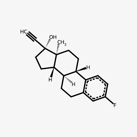 C#C[C@]1(O)CC[C@H]2[C@@H]3CCc4cc(F)ccc4[C@H]3CC[C@@]21C